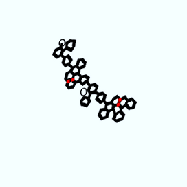 c1ccc(-c2cc(-c3ccc(-c4ccc(-c5c6ccccc6c(-c6ccccc6-c6cccc7ccccc67)c6ccccc56)cc4)c4c3oc3ccccc34)ccc2-c2c3ccccc3c(-c3ccc(-c4cccc5oc6ccccc6c45)cc3)c3ccccc23)cc1